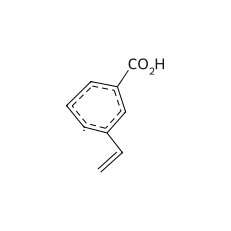 C=Cc1[c]ccc(C(=O)O)c1